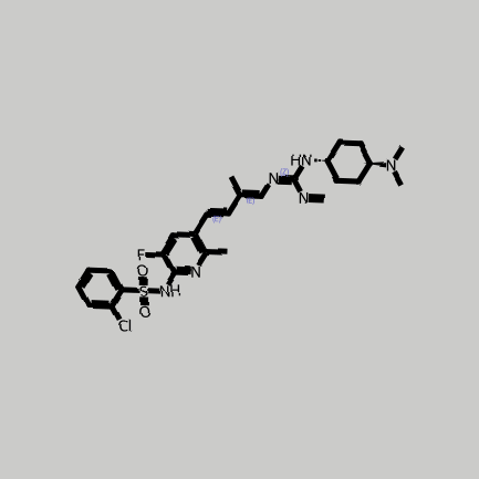 C=N\C(=N/C=C(C)/C=C/c1cc(F)c(NS(=O)(=O)c2ccccc2Cl)nc1C)N[C@H]1CC[C@H](N(C)C)CC1